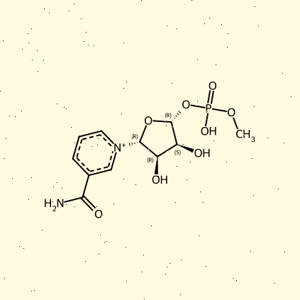 COP(=O)(O)O[C@H]1O[C@@H]([n+]2cccc(C(N)=O)c2)[C@H](O)[C@@H]1O